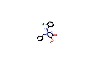 COc1cn(Cc2ccccc2)c(Nc2ccccc2Cl)nc1=O